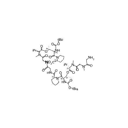 CC(C)[C@@H](C(=O)O[C@H](C)[C@@H](NC(=O)OC(C)(C)C)C(=O)N1CCCC[C@H]1C(=O)O)N(C)C(=O)CN(C)C(=O)CNC(=O)[C@@H]1CCCCN1C(=O)[C@H](NC(=O)OC(C)(C)C)[C@@H](C)OC(=O)[C@H](C(C)C)N(C)C(=O)CN(C)C(=O)CN